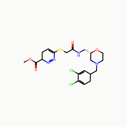 COC(=O)C1CC=C(SCC(=O)NC[C@H]2CN(CC3C=C(Cl)C(Cl)=CC3)CCO2)N=N1